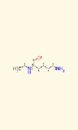 CCNC(C=O)CCCCN